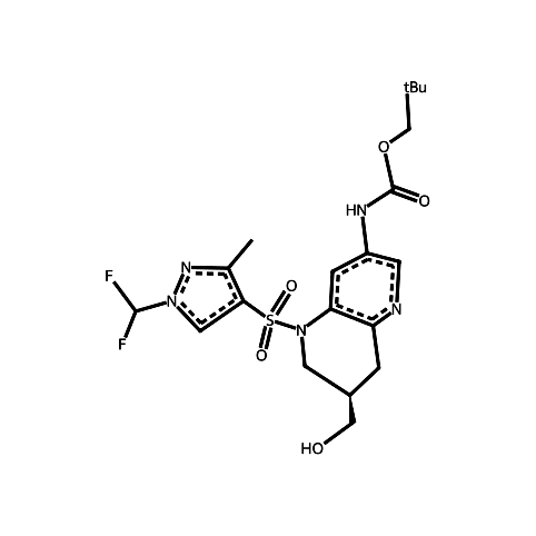 Cc1nn(C(F)F)cc1S(=O)(=O)N1C[C@H](CO)Cc2ncc(NC(=O)OCC(C)(C)C)cc21